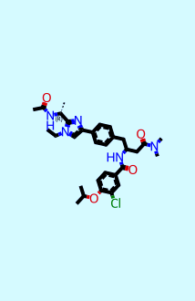 CCn1cc(-c2ccc(CC(CC(=O)N(C)C)NC(=O)c3ccc(OC(C)C)c(Cl)c3)cc2)nc1[C@@H](C)NC(C)=O